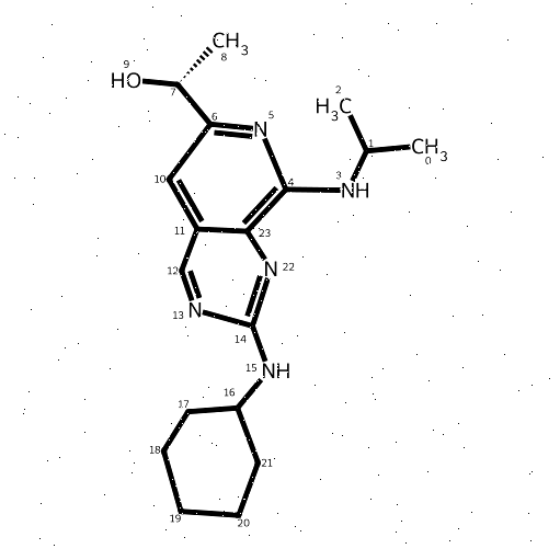 CC(C)Nc1nc([C@@H](C)O)cc2cnc(NC3CCCCC3)nc12